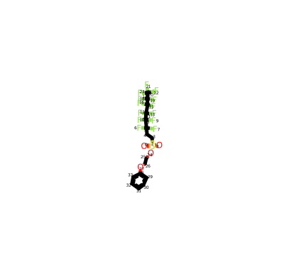 O=S(=O)(CCC(F)(F)C(F)(F)C(F)(F)C(F)(F)C(F)(F)C(F)(F)F)OCCOc1ccccc1